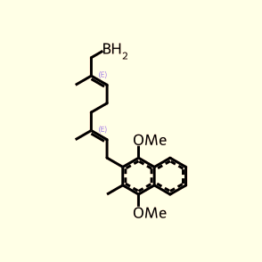 BC/C(C)=C/CC/C(C)=C/Cc1c(C)c(OC)c2ccccc2c1OC